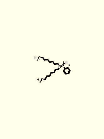 CCCCCCCCN(CCCCCCCC)P(N)c1ccccc1